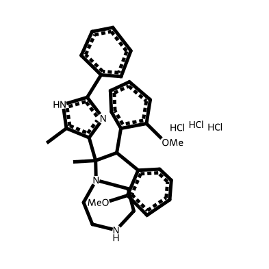 COc1ccccc1C(c1ccccc1OC)C(C)(c1nc(-c2ccccc2)[nH]c1C)N1CCNCC1.Cl.Cl.Cl